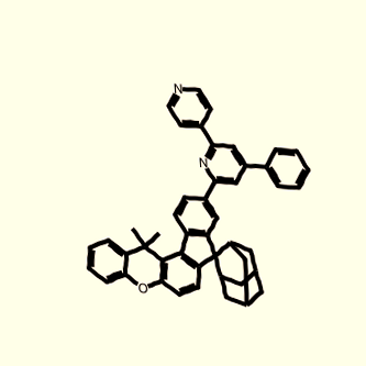 CC1(C)c2ccccc2Oc2ccc3c(c21)-c1ccc(-c2cc(-c4ccccc4)cc(-c4ccncc4)n2)cc1C31C2CC3CC(C2)CC1C3